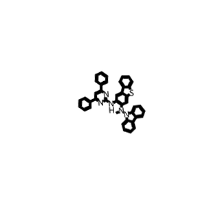 CN(c1cc2sc3ccccc3c2cc1Nc1nc(-c2ccccc2)cc(-c2ccccc2)n1)n1c2ccccc2c2ccccc21